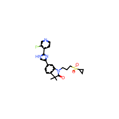 CC1(C)C(=O)N(CCCS(=O)(=O)C2CC2)c2cc(-c3c[nH]c(-c4ccncc4F)n3)ccc21